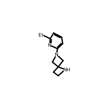 CCc1cccc(N2CC3(CCN3)C2)n1